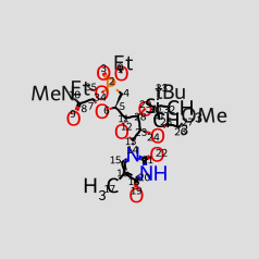 CCOP(=O)(C[C@H](OCC(=O)NC)[C@H]1O[C@@H](n2cc(C)c(=O)[nH]c2=O)[C@H](OCCOC)[C@@H]1O[Si](C)(C)C(C)(C)C)OCC